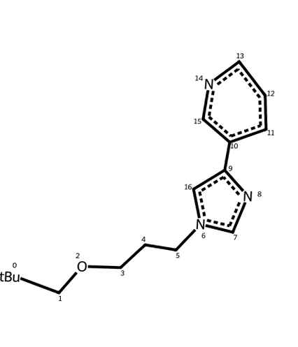 CC(C)(C)COCCCn1cnc(-c2cccnc2)c1